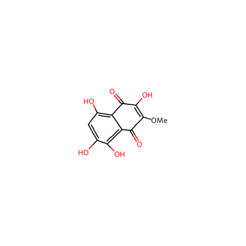 COC1=C(O)C(=O)c2c(O)cc(O)c(O)c2C1=O